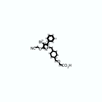 N#CCOc1nn(CC2CCC(COCC(=O)O)CC2)c(-c2ccccc2)c1Br